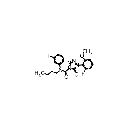 CCCCN(C(=O)n1nnn(-c2c(F)cccc2OC)c1=O)c1cccc(F)c1